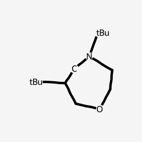 CC(C)(C)C1COCCN(C(C)(C)C)C1